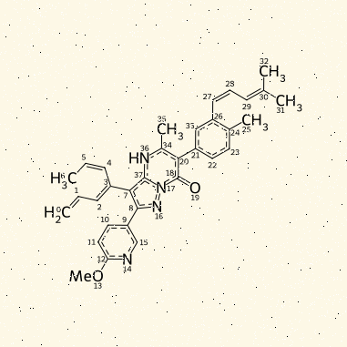 C=C/C=C(\C=C/C)c1c(-c2ccc(OC)nc2)nn2c(=O)c(-c3ccc(C)c(/C=C\C=C(C)C)c3)c(C)[nH]c12